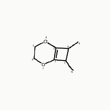 CC1C2=C(OCCO2)C1C